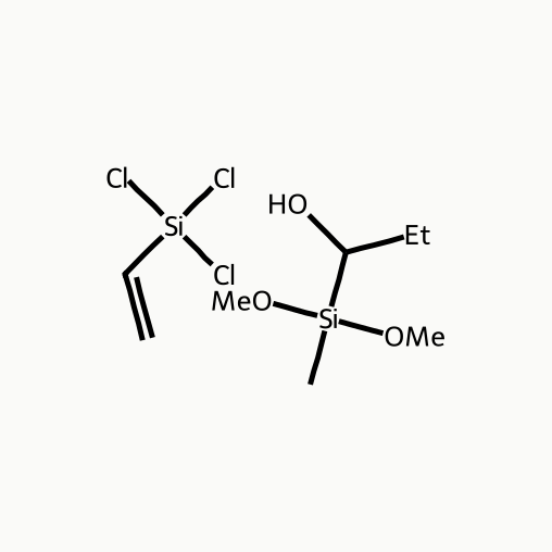 C=C[Si](Cl)(Cl)Cl.CCC(O)[Si](C)(OC)OC